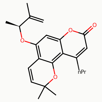 C=C(C)[C@H](C)Oc1cc2oc(=O)cc(CCC)c2c2c1C=CC(C)(C)O2